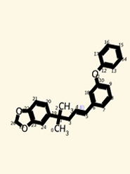 CC(C)(C/C=C/c1cccc(Oc2ccccc2)c1)c1ccc2c(c1)OCO2